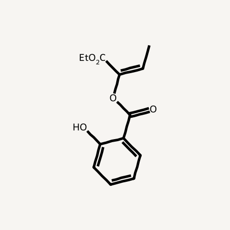 CC=C(OC(=O)c1ccccc1O)C(=O)OCC